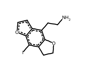 NCCc1c2c(c(I)c3occc13)CCO2